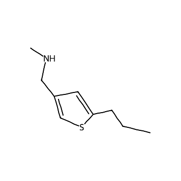 CCCc1cc(CNC)cs1